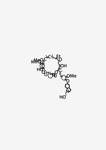 CC[C@@H]1/C=C(\C)C[C@H](C)C[C@H](OC)[C@H]2O[C@@](O)(C(=O)C(=O)N3CCCC[C@H]3C(=O)O[C@H](/C(C)=C/[C@@H]3CC[C@@H](Oc4ccc5c(ccn5CCO)c4)[C@H](OC)C3)[C@H](C)[C@@H](O)CC1=O)[C@H](C)C[C@@H]2OC